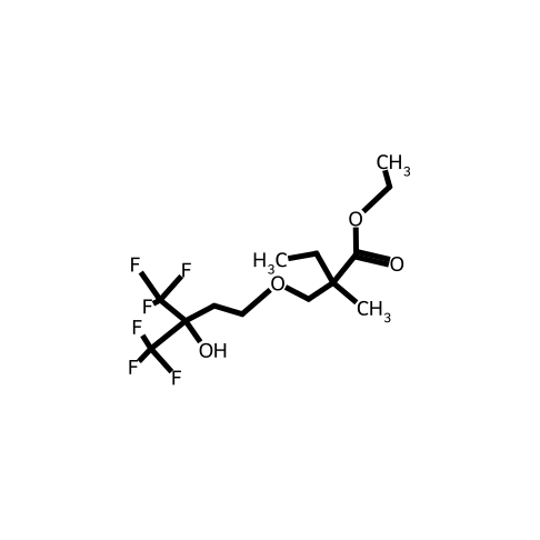 CCOC(=O)C(C)(CC)COCCC(O)(C(F)(F)F)C(F)(F)F